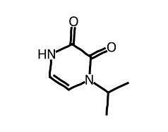 CC(C)n1cc[nH]c(=O)c1=O